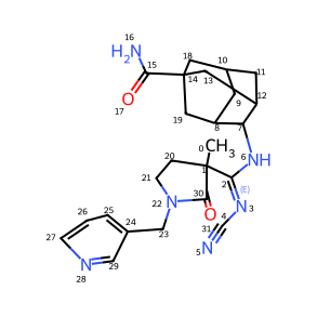 CC1(/C(=N\C#N)NC2C3CC4CC2CC(C(N)=O)(C4)C3)CCN(Cc2cccnc2)C1=O